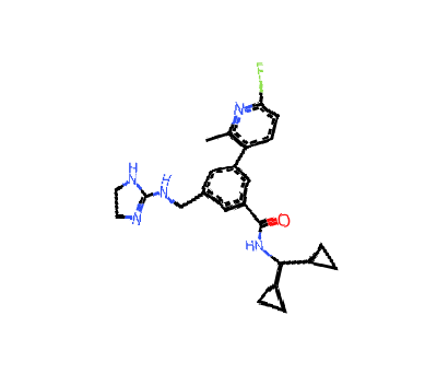 Cc1nc(F)ccc1-c1cc(CNC2=NCCN2)cc(C(=O)NC(C2CC2)C2CC2)c1